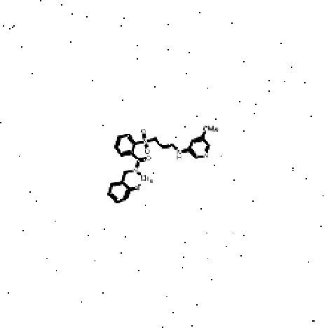 COc1cncc(NC=CCS(=O)(=O)c2ccccc2C(=O)N(C)Cc2ccccc2F)c1